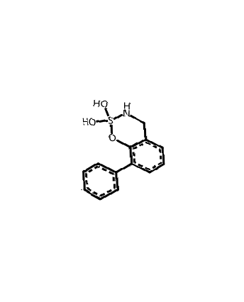 OS1(O)NCc2cccc(-c3cc[c]cc3)c2O1